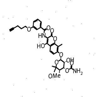 C#CCCCOc1cccc(C(=O)Nc2c(O)c3ccc(O[C@@H]4OC(C)(C)[C@H](OC)[C@@H](OC(N)=O)[C@H]4O)c(C)c3oc2=O)c1